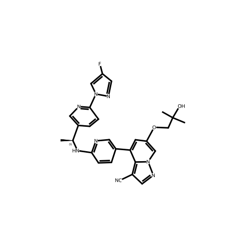 C[C@H](Nc1ccc(-c2cc(OCC(C)(C)O)cn3ncc(C#N)c23)cn1)c1ccc(-n2cc(F)cn2)nc1